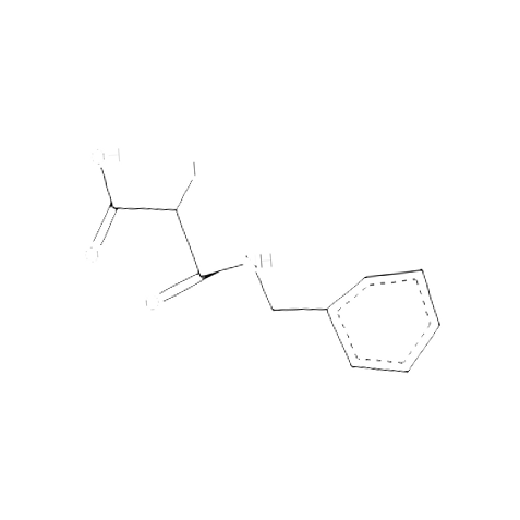 O=C(O)C(F)C(=O)NCc1ccccc1